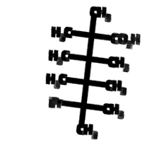 CC(C)C(C)(C)C(C)(C)C(C)(C)C(C)(C)C(=O)O